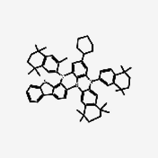 Cc1cc2c(cc1N1c3cc(C4CCCCC4)cc4c3B(c3cc5c(cc3N4c3ccc4c(c3)C(C)(C)CCC4(C)C)C(C)(C)CCC5(C)C)c3ccc4c(sc5ccccc54)c31)C(C)(C)CCC2(C)C